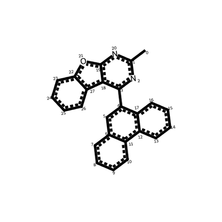 Cc1nc(-c2cc3ccccc3c3ccccc23)c2c(n1)oc1ccccc12